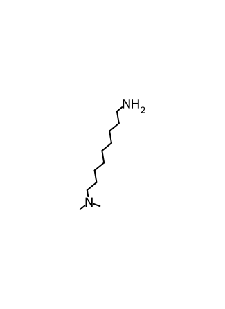 CN(C)CCCCCCCCCN